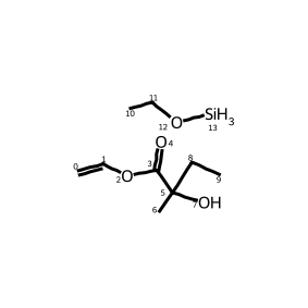 C=COC(=O)C(C)(O)CC.CCO[SiH3]